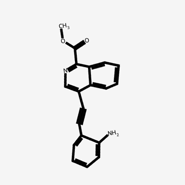 COC(=O)c1ncc(C#Cc2ccccc2N)c2ccccc12